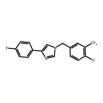 Fc1ccc(-c2cn(Cc3ccc(Cl)c(C(F)(F)F)c3)cn2)cc1